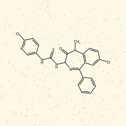 CN1C(=O)C(NC(=S)Nc2ccc(Cl)nc2)N=C(c2ccccc2)c2cc(Cl)ccc21